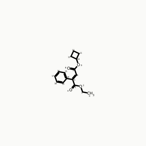 CCOC(=O)/C(=C/C(=O)OC1CCC1)c1ccccc1